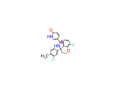 Cc1ccc([C@@]2(NC(=O)c3ccc(=O)[nH]c3)CCOc3c(F)ccnc32)cc1F